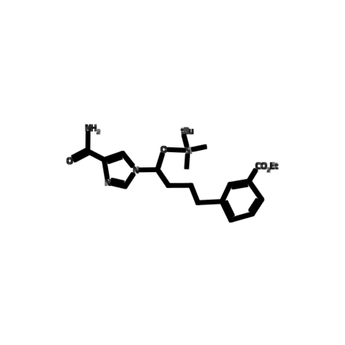 CCOC(=O)c1cccc(CCCC(O[Si](C)(C)C(C)(C)C)n2cnc(C(N)=O)c2)c1